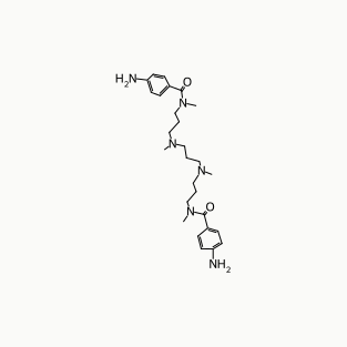 CN(CCCN(C)CCCN(C)C(=O)c1ccc(N)cc1)CCCN(C)C(=O)c1ccc(N)cc1